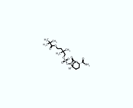 CC(C)(CCOC(=O)C(C)(C)C)COS(=O)(=O)ON1C(=O)N2C[C@H]1CC[C@H]2C(N)=O